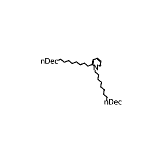 CCCCCCCCCCCCCCCCCCc1cccc[n+]1CCCCCCCCCCCCCCCCCC